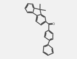 CC1(C)c2ccccc2-c2ccc(C(=O)c3ccc(-c4ccccc4)cc3)cc21